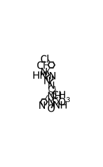 CC1(NCc2ccncc2N2CCC(=O)NC2=O)CCN(c2cnc3c(-c4cccc(Cl)c4Cl)n[nH]c3n2)CC1